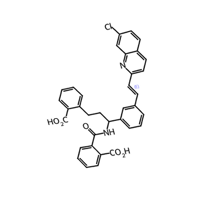 O=C(O)c1ccccc1CCC(NC(=O)c1ccccc1C(=O)O)c1cccc(/C=C/c2ccc3ccc(Cl)cc3n2)c1